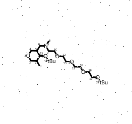 CC1COCC(CN(C)CCOCCOCCOCCOC(C)(C)C)C1OC(C)(C)C